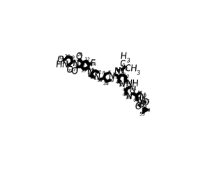 CC(C)n1nc(N2CCC(CN3CC4CC3CN4c3cc4c(cc3F)C(=O)N(C3CCC(=O)NC3=O)C4=O)CC2)c2cnc(Nc3ccnc(-c4cnn(S(=O)(=O)C5CC5)c4)n3)cc21